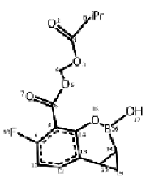 CC(C)C(=O)OCOC(=O)c1c(F)ccc2c1OB(O)C1CC21